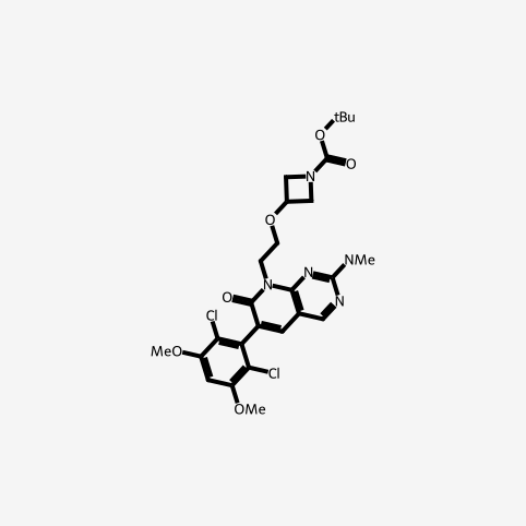 CNc1ncc2cc(-c3c(Cl)c(OC)cc(OC)c3Cl)c(=O)n(CCOC3CN(C(=O)OC(C)(C)C)C3)c2n1